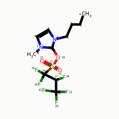 CCCCN1C=CN(C)C1OS(=O)(=O)C(F)(F)C(F)C(F)(F)F